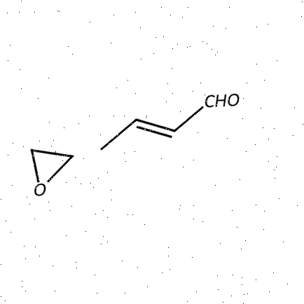 C1CO1.CC=CC=O